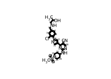 C[C@@H](O)CNCc1ccc(-n2cc(-c3nc(NC4CCN(S(C)(=O)=O)CC4)ncc3C#N)cn2)c(Cl)c1